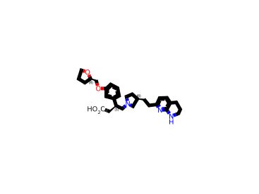 O=C(O)C[C@H](CN1CC[C@@H](CCc2ccc3c(n2)NCCC3)C1)c1cccc(OC[C@H]2CCCO2)c1